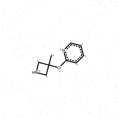 CC1(Oc2ccccn2)CNC1